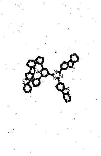 c1ccc(-c2cc(-c3nc(-c4ccc5c(c4)sc4ccccc45)nc(-c4ccc5c(c4)sc4ccccc45)n3)cc(-c3ccccc3)c2-n2c3ccccc3c3cc4sc5ccccc5c4cc32)cc1